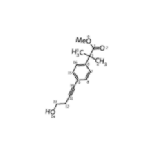 COC(=O)C(C)(C)c1ccc(C#CCCO)cc1